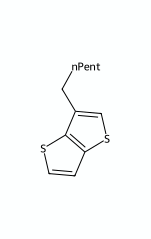 CCCCCCc1csc2ccsc12